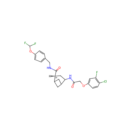 O=C(COc1ccc(Cl)c(F)c1)NC1C[C@@H](C(=O)NCc2ccc(OC(F)F)cc2)C2CC1C2